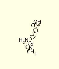 Cc1ccc2c(N)c(-c3ccc(-c4ccc(C5(C(=O)O)CC5)cc4)cc3)sc2n1